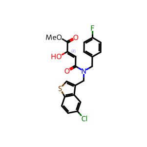 COC(=O)/C(O)=C/C(=O)N(Cc1ccc(F)cc1)Cc1csc2ccc(Cl)cc12